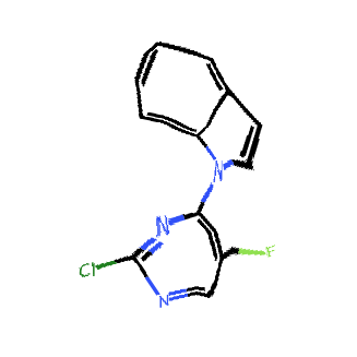 Fc1cnc(Cl)nc1-n1ccc2ccccc21